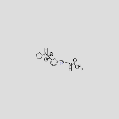 O=C(NC/C=C/c1cccc(S(=O)(=O)NC2CCCC2)c1)C(F)(F)F